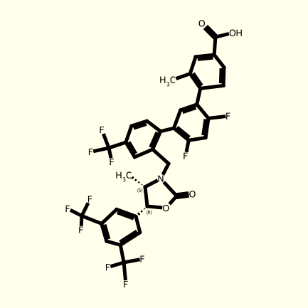 Cc1cc(C(=O)O)ccc1-c1cc(-c2ccc(C(F)(F)F)cc2CN2C(=O)O[C@H](c3cc(C(F)(F)F)cc(C(F)(F)F)c3)[C@@H]2C)c(F)cc1F